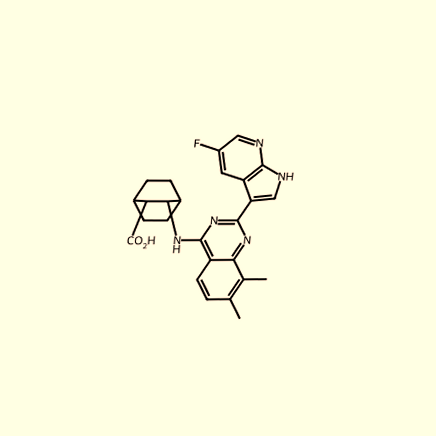 Cc1ccc2c(NC3C4CCC(CC4)C3C(=O)O)nc(-c3c[nH]c4ncc(F)cc34)nc2c1C